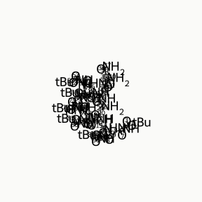 CC(C)(C)OC(=O)NNC(=O)CCC(NC(=O)CCC(NC(=O)CCC(N)C(=O)NC(CCC(=O)NC(CCC(N)=O)C(N)=O)C(=O)NC(CCC(=O)NNC(=O)OC(C)(C)C)C(=O)NNC(=O)OC(C)(C)C)C(=O)NC(CCC(=O)NNC(=O)OC(C)(C)C)C(=O)NNC(=O)OC(C)(C)C)C(=O)NNC(=O)OC(C)(C)C